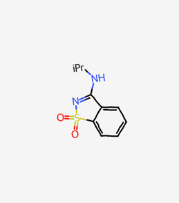 CC(C)NC1=NS(=O)(=O)c2ccccc21